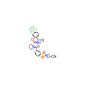 N#CC1CN(S(=O)(=O)c2cccc(C(=O)N3CCC[C@@H]3C(=O)NC(c3ccc(S(F)(F)(F)(F)F)cc3)C3CC3)c2)C1